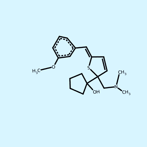 COc1cccc(C=C2C=CC(CN(C)C)(C3(O)CCCC3)S2)c1